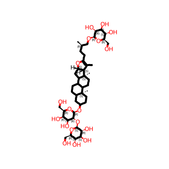 CC1=C(CC[C@@H](C)CO[C@@H]2O[C@H](CO)[C@@H](O)[C@H](O)[C@H]2O)O[C@H]2CC3C4CCC5CC(O[C@@H]6O[C@H](CO)[C@H](O)[C@H](O)[C@H]6O[C@@H]6O[C@H](CO)[C@@H](O)[C@H](O)[C@H]6O)CC[C@]5(C)C4CC[C@]3(C)[C@@H]12